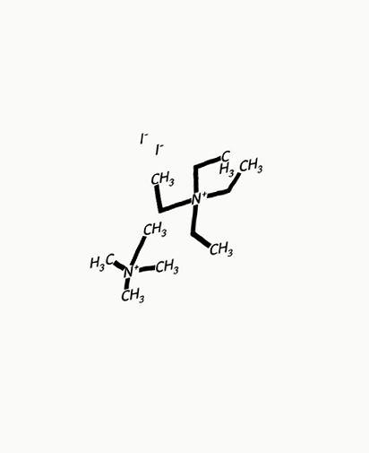 CC[N+](CC)(CC)CC.C[N+](C)(C)C.[I-].[I-]